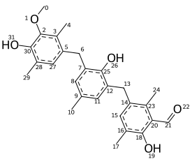 COc1c(C)c(Cc2cc(C)cc(Cc3cc(C)c(O)c(C=O)c3C)c2O)cc(C)c1O